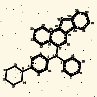 c1ccc(N(c2ccc(C3CCCCC3)cc2)c2cc3c4ccccc4sc3c3ccccc23)cc1